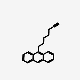 [C]#CCCCCCc1c2ccccc2cc2ccccc12